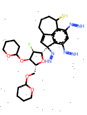 N=Nc1cc(N=N)c2c3c1C(S)CCCC3=CC2(N=N)[C@@H]1O[C@H](COC2CCCCO2)[C@@H](OC2CCCCO2)[C@H]1F